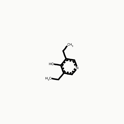 CCc1cncc(CC)c1O